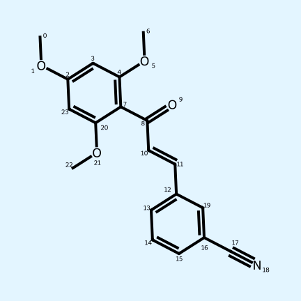 COc1cc(OC)c(C(=O)/C=C/c2cccc(C#N)c2)c(OC)c1